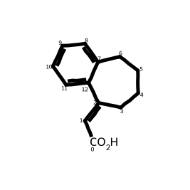 O=C(O)C=C1CCCCc2ccccc21